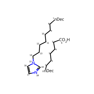 CCCCCCCCCCCCCCCC(=O)O.CCCCCCCCCCCCCCCCCn1ccnc1